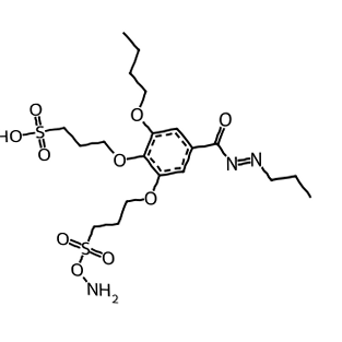 CCCCOc1cc(C(=O)N=NCCC)cc(OCCCS(=O)(=O)ON)c1OCCCS(=O)(=O)O